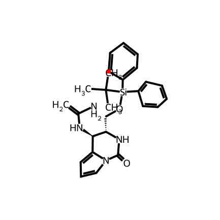 C=C(N)N[C@@H]1c2cccn2C(=O)N[C@H]1CO[Si](c1ccccc1)(c1ccccc1)C(C)(C)C